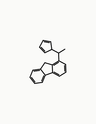 CC(c1cccc2c1Cc1ccccc1-2)C1C=CC=C1